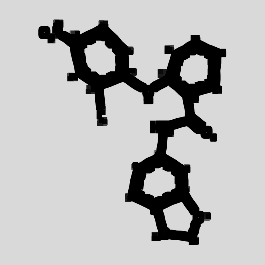 O=C(Nc1ccc2c(c1)OCO2)c1ccccc1Oc1ccc([N+](=O)[O-])cc1F